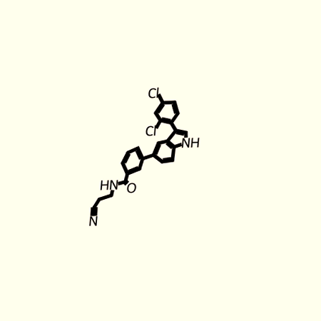 N#CCCNC(=O)c1cccc(-c2ccc3[nH]cc(-c4ccc(Cl)cc4Cl)c3c2)c1